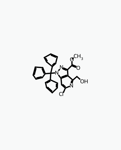 COC(=O)c1nn(C(c2ccccc2)(c2ccccc2)c2ccccc2)c2cc(Cl)nc(CO)c12